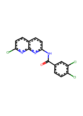 O=C(Nc1ccc2ccc(Cl)nc2n1)c1ccc(Cl)c(Cl)c1